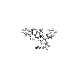 CCCCCC(C)(C)c1cc(Cc2cc(C(C)(C)CCCCC)cc(-n3nc4ccccc4n3)c2O)c(O)c(-n2nc3ccccc3n2)c1